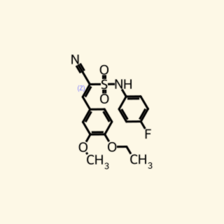 CCOc1ccc(/C=C(/C#N)S(=O)(=O)Nc2ccc(F)cc2)cc1OC